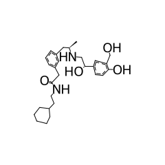 C[C@H](Cc1cccc(CC(=O)NCCC2CCCCC2)c1)NC[C@@H](O)c1ccc(O)c(CO)c1